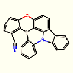 N#Cc1cccc2c1B1c3ccccc3-n3c4ccccc4c4ccc(c1c43)O2